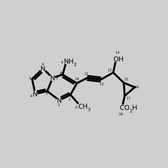 Cc1nc2ncnn2c(N)c1C#CC(O)C1CC1C(=O)O